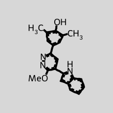 COc1nnc(-c2cc(C)c(O)c(C)c2)cc1-c1cc2ccccc2[nH]1